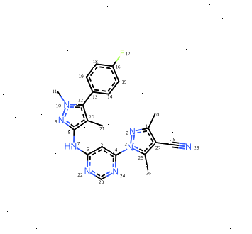 Cc1nn(-c2cc(Nc3nn(C)c(-c4ccc(F)cc4)c3C)ncn2)c(C)c1C#N